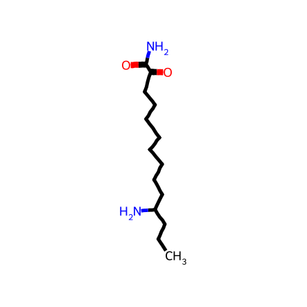 CCCC(N)CCCCCCCCC(=O)C(N)=O